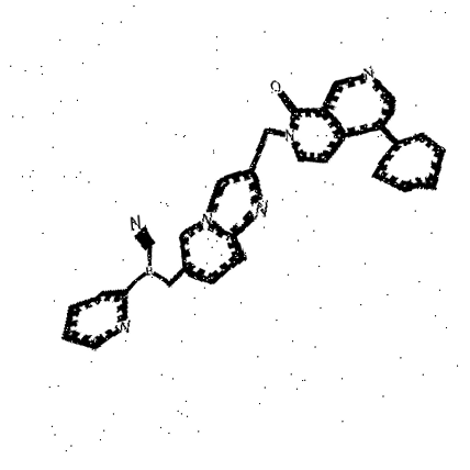 N#CB(Cc1ccc2nc(Cn3ccc4c(-c5ccccc5)cncc4c3=O)cn2c1)c1ccccn1